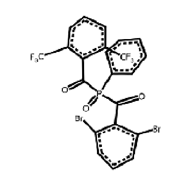 O=C(c1c(Br)cccc1Br)P(=O)(C(=O)c1c(C(F)(F)F)cccc1C(F)(F)F)c1ccccc1